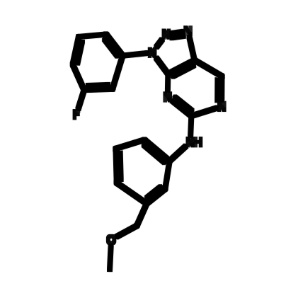 COCc1cccc(Nc2ncc3nnn(-c4cccc(F)c4)c3n2)c1